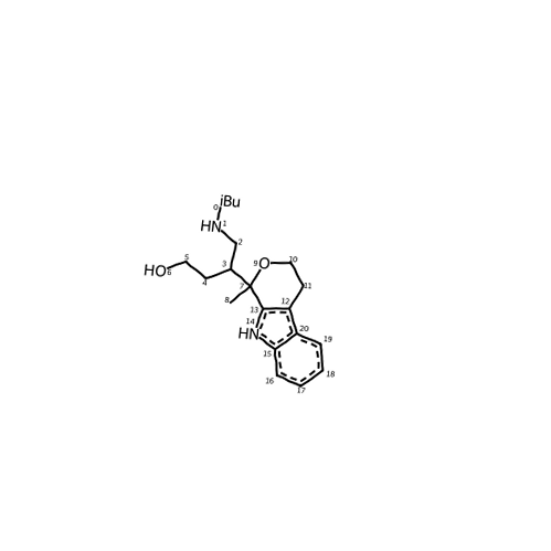 CCC(C)NCC(CCO)C1(C)OCCc2c1[nH]c1ccccc21